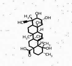 C#C[C@@]1(C)C2CC[C@]3(C)[C@H](CC=C4[C@H]5[C@](C(=O)O)(CC[C@@H](C)[C@@]5(C)O)CC[C@]43C)[C@@]2(C)C[C@@H](O)[C@@H]1O